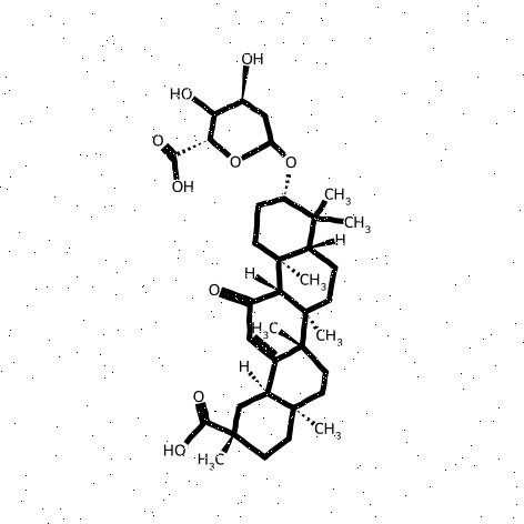 CC1(C)[C@@H](OC2C[C@H](O)C(O)[C@@H](C(=O)O)O2)CC[C@]2(C)[C@H]3C(=O)C=C4[C@@H]5C[C@@](C)(C(=O)O)CC[C@]5(C)CC[C@@]4(C)[C@]3(C)CC[C@@H]12